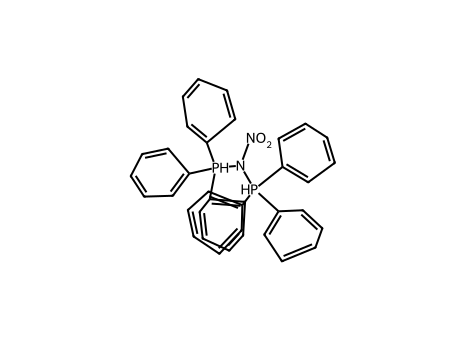 O=[N+]([O-])N([PH](c1ccccc1)(c1ccccc1)c1ccccc1)[PH](c1ccccc1)(c1ccccc1)c1ccccc1